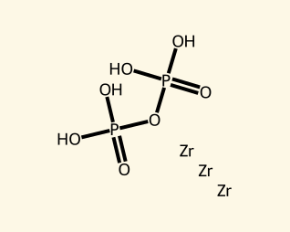 O=P(O)(O)OP(=O)(O)O.[Zr].[Zr].[Zr]